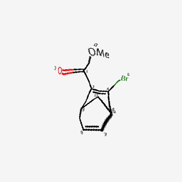 COC(=O)C1=C(Br)C2C=CC1C2